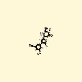 COc1cc(C#N)cc(-c2cc([C@]3(C)CC(=O)N(C)C(=N)N3)sc2C)c1